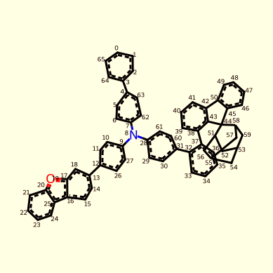 c1ccc(-c2ccc(N(c3ccc(-c4ccc5c(c4)oc4ccccc45)cc3)c3ccc(-c4ccccc4-c4cccc5c4C4(c6ccccc6-5)C5CC6CC(C5)CC4C6)cc3)cc2)cc1